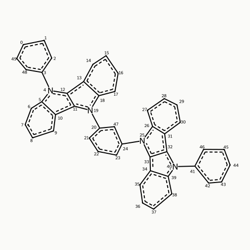 c1ccc(-n2c3ccccc3c3c2c2ccccc2n3-c2cccc(-n3c4ccccc4c4c3c3ccccc3n4-c3ccccc3)c2)cc1